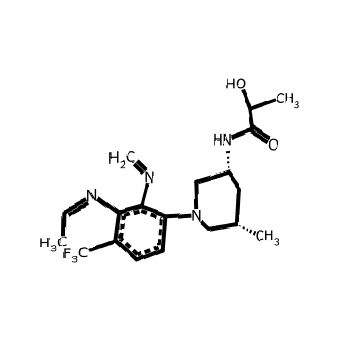 C=Nc1c(N2C[C@@H](C)C[C@@H](NC(=O)C(C)O)C2)ccc(C(F)(F)F)c1/N=C\C